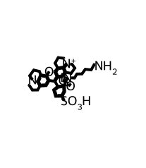 NCCCCCCNS(=O)(=O)c1cc(S(=O)(=O)O)ccc1C1=c2cc3c4c(c2Oc2c1cc1c5c2CCCN5CCC1)CCC[N+]=4CCC3